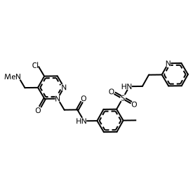 CNCc1c(Cl)cnn(CC(=O)Nc2ccc(C)c(S(=O)(=O)NCCc3ccccn3)c2)c1=O